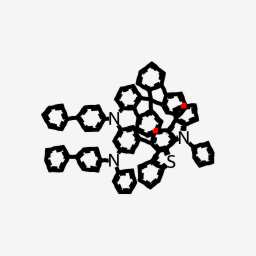 c1ccc(-c2ccc(N(c3ccccc3)c3cc(-c4cc5c6ccccc6n(-c6ccccc6)c5c5sc6ccccc6c45)cc(N(c4ccc(-c5ccccc5)cc4)c4cccc5c4-c4ccccc4C54c5ccccc5-c5ccccc54)c3)cc2)cc1